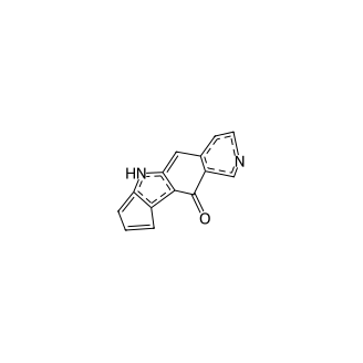 O=C1c2cnccc2C=c2[nH]c3c(c21)C=CC=3